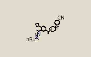 C=C(c1ccc(C2CCC2)c(/C(C)=N/N=C(\C)CCCC)c1)N1CCC(F)(c2ccc(C#N)cc2)CC1